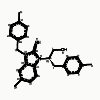 Cc1ccc(C[C@@H](CO)n2c(=N)n(Cc3ccc(C)cc3)c3cc(C)ccc32)cc1